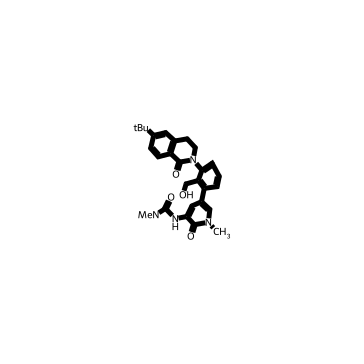 CNC(=O)Nc1cc(-c2cccc(N3CCc4cc(C(C)(C)C)ccc4C3=O)c2CO)cn(C)c1=O